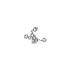 c1ccc(CCc2csc(Nc3ncc(Sc4ccncc4)cc3Oc3ccccc3)n2)cc1